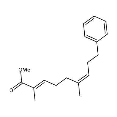 COC(=O)/C(C)=C/CCC(C)=CCCc1ccccc1